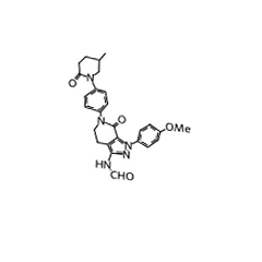 COc1ccc(-n2nc(NC=O)c3c2C(=O)N(c2ccc(N4CC(C)CCC4=O)cc2)CC3)cc1